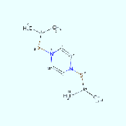 CC(C)SN1C=CN(SC(C)C)C=C1